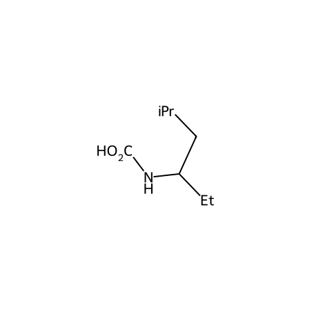 CCC(CC(C)C)NC(=O)O